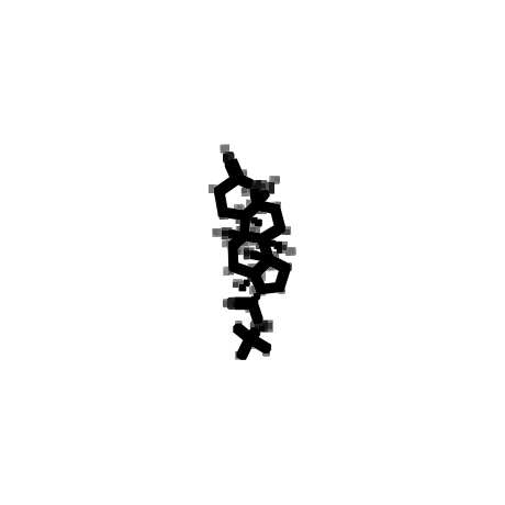 CC(C)(C)NC(=O)[C@H]1CC[C@H]2[C@@H]3CC[C@H]4NC(=O)CC[C@]4(C)[C@H]3CC[C@]12C